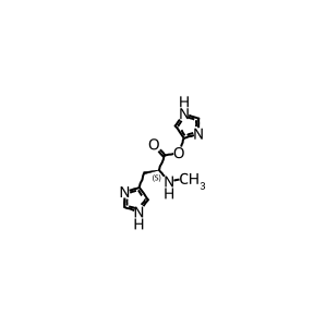 CN[C@@H](Cc1c[nH]cn1)C(=O)Oc1c[nH]cn1